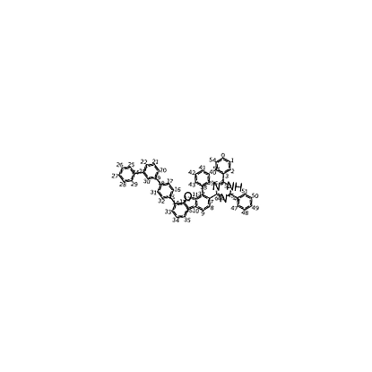 c1ccc(C2=NC(c3ccc4c(oc5c(-c6ccc(-c7cccc(-c8ccccc8)c7)cc6)cccc54)c3-c3ccccc3)=NC(c3ccccc3)N2)cc1